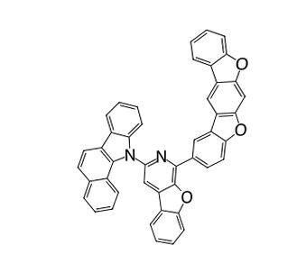 c1ccc2c(c1)ccc1c3ccccc3n(-c3cc4c(oc5ccccc54)c(-c4ccc5oc6cc7oc8ccccc8c7cc6c5c4)n3)c21